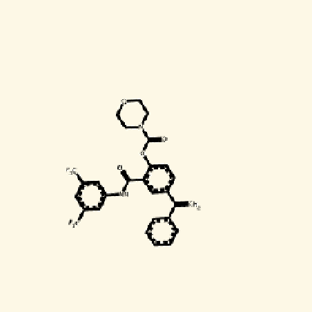 C=C(c1ccccc1)c1ccc(OC(=O)N2CCOCC2)c(C(=O)Nc2cc(C(F)(F)F)cc(C(F)(F)F)c2)c1